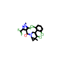 Cn1nc(C(F)F)c(C(=O)N2CC(c3c(Cl)cccc3Cl)=C(Cl)C3(C)CC23)c1F